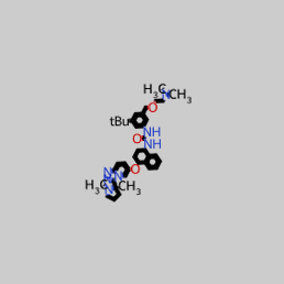 CN(C)CCOCc1cc(NC(=O)N[C@H]2CC[C@@H](Oc3ccc4nnc([C@]5(C)CCCN5C)n4c3)c3ccccc32)cc(C(C)(C)C)c1